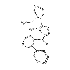 NCc1ccccc1-n1ncc(C(=O)c2ccccc2-c2cccnc2)c1N